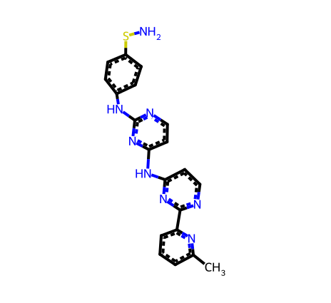 Cc1cccc(-c2nccc(Nc3ccnc(Nc4ccc(SN)cc4)n3)n2)n1